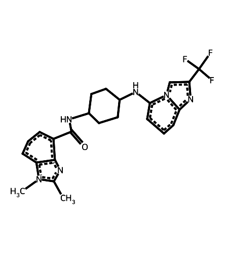 Cc1nc2c(C(=O)NC3CCC(Nc4cccc5nc(C(F)(F)F)cn45)CC3)cccc2n1C